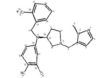 Cn1nccc1CN1CC[C@H](N(Cc2ccccc2C(F)(F)F)c2ccc(C#N)c(Cl)c2)C1